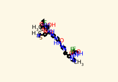 Cc1ncsc1-c1ccc([C@H](CC(=O)N2CCC(N3CCC(C(=O)NCCN4CCN(Cc5cccc(-c6ccc(N7CCN(C)CC7)c(NC(=O)c7c[nH]c(=O)cc7C(F)(F)F)c6)c5)CC4)CC3)CC2)NC(=O)[C@@H]2C[C@@H](O)CN2C(=O)[C@@H](NC(=O)C2(F)CC2)C(C)(C)C)cc1